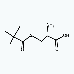 CC(C)(C)C(=O)SC[C@H](N)C(=O)O